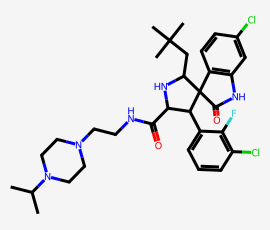 CC(C)N1CCN(CCNC(=O)C2NC(CC(C)(C)C)C3(C(=O)Nc4cc(Cl)ccc43)C2c2cccc(Cl)c2F)CC1